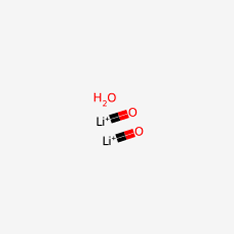 O.[Li+]=[O].[Li+]=[O]